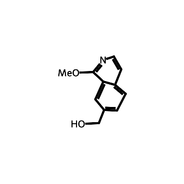 COc1nccc2ccc(CO)cc12